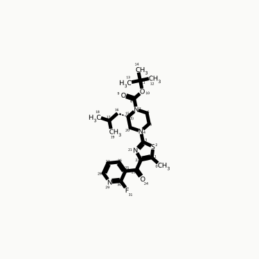 Cc1sc(N2CCN(C(=O)OC(C)(C)C)[C@@H](CC(C)C)C2)nc1C(=O)c1cccnc1F